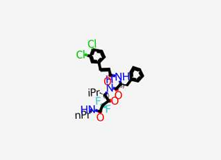 CCCNC(=O)C(F)(F)C(=O)[C@@H](NC(=O)[C@H](Cc1ccccc1)NC(=O)C=Cc1ccc(Cl)c(Cl)c1)C(C)C